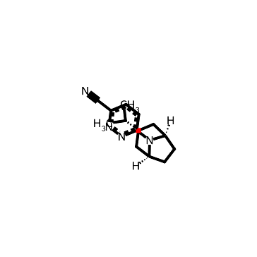 CC(C)[C@@H]1C[C@H]2CC[C@@H](C1)N2c1ccc(C#N)nn1